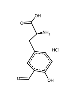 Cl.N[C@@H](Cc1ccc(O)c(C=O)c1)C(=O)O